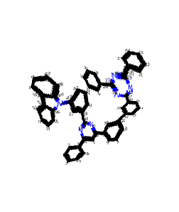 c1ccc(-c2cc(-c3cccc(-c4cccc(-c5nc(-c6ccccc6)nc(-c6ccccc6)n5)c4)c3)nc(-c3cccc(-n4c5ccccc5c5ccccc54)c3)n2)cc1